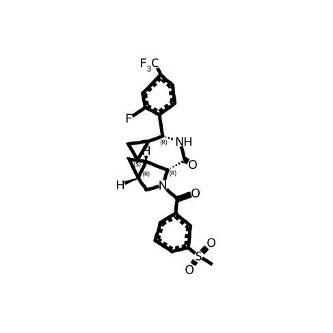 CS(=O)(=O)c1cccc(C(=O)N2C[C@@H]3C[C@@H]3[C@@H]2C(=O)N[C@@H](c2ccc(C(F)(F)F)cc2F)C2CC2)c1